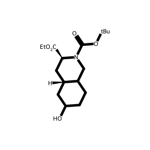 CCOC(=O)[C@@H]1C[C@H]2CC(O)CCC2CN1C(=O)OC(C)(C)C